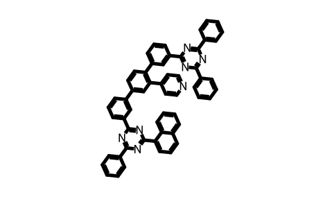 c1ccc(-c2nc(-c3ccccc3)nc(-c3cccc(-c4ccc(-c5cccc(-c6nc(-c7ccccc7)nc(-c7cccc8ccccc78)n6)c5)cc4-c4ccncc4)c3)n2)cc1